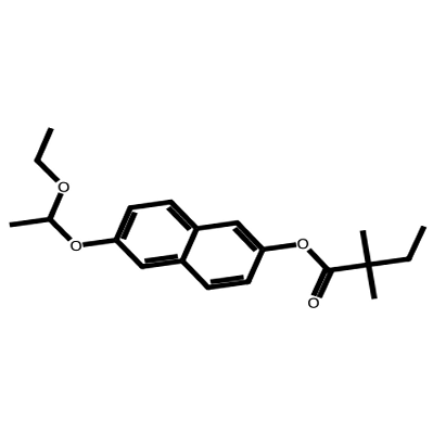 CCOC(C)Oc1ccc2cc(OC(=O)C(C)(C)CC)ccc2c1